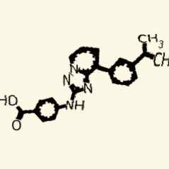 CC(C)c1cccc(-c2cccn3nc(Nc4ccc(C(=O)O)cc4)nc23)c1